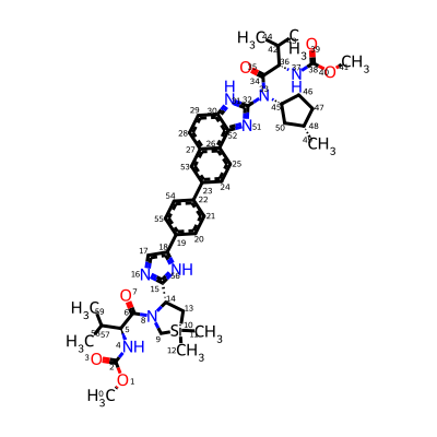 COC(=O)N[C@H](C(=O)N1C[Si](C)(C)C[C@H]1c1ncc(-c2ccc(-c3ccc4c(ccc5[nH]c(N(C(=O)[C@@H](NC(=O)OC)C(C)C)[C@@H]6CC[C@H](C)C6)nc54)c3)cc2)[nH]1)C(C)C